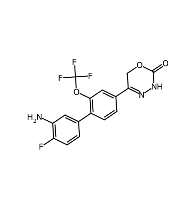 Nc1cc(-c2ccc(C3=NNC(=O)OC3)cc2OC(F)(F)F)ccc1F